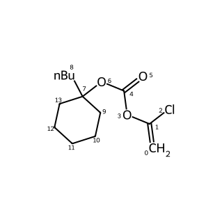 C=C(Cl)OC(=O)OC1(CCCC)CCCCC1